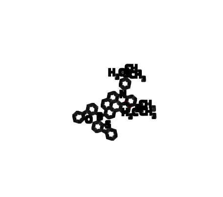 C[Si](C)(C)c1ccc(N(c2ccc([Si](C)(C)C)cc2)c2ccc3ccc4c(B(c5cccc6c5oc5ccccc56)c5cccc6c5sc5ccccc56)ccc5c6ccccc6c2c3c45)cc1